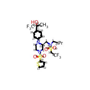 CC(C)CN(C[C@H]1CN(S(=O)(=O)c2cccs2)CCN1c1ccc([C@](C)(O)C(F)(F)F)cc1)S(=O)(=O)CC(F)(F)F